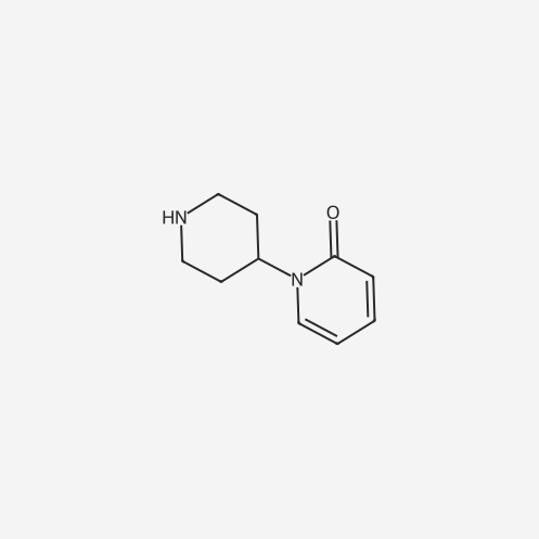 O=c1ccccn1C1CCNCC1